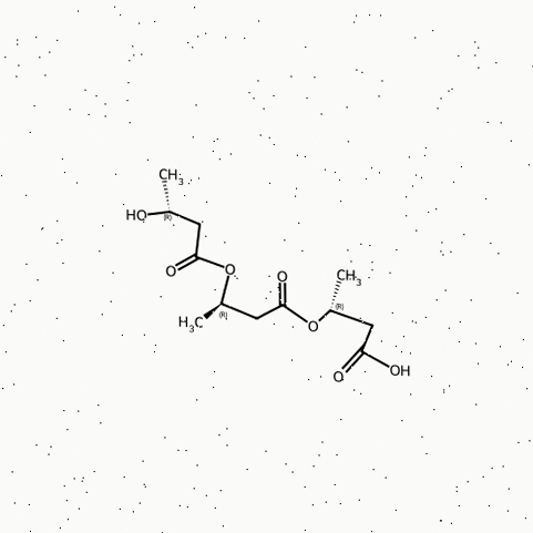 C[C@H](CC(=O)O)OC(=O)C[C@@H](C)OC(=O)C[C@@H](C)O